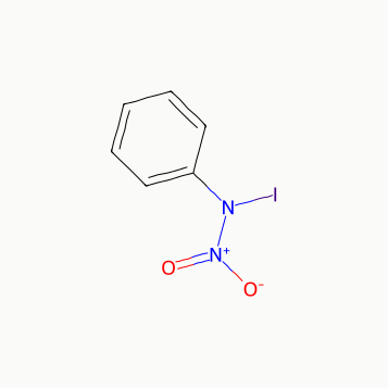 O=[N+]([O-])N(I)c1ccccc1